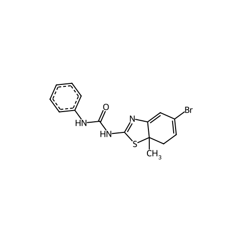 CC12CC=C(Br)C=C1N=C(NC(=O)Nc1ccccc1)S2